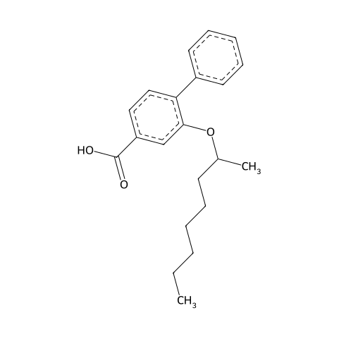 CCCCCCC(C)Oc1cc(C(=O)O)ccc1-c1ccccc1